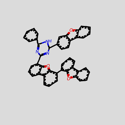 c1ccc(C2=NC(c3cccc4c3oc3c(-c5cccc6c5oc5ccccc56)cccc34)=NC(c3ccc4c(c3)oc3ccccc34)N2)cc1